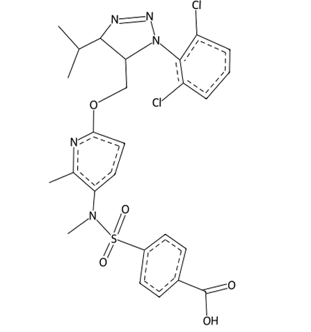 Cc1nc(OCC2C(C(C)C)N=NN2c2c(Cl)cccc2Cl)ccc1N(C)S(=O)(=O)c1ccc(C(=O)O)cc1